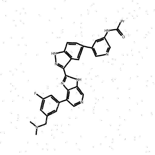 CC(C)C(=O)Nc1cncc(-c2ccc3[nH]nc(-c4nc5c(-c6cc(F)cc(CN(C)C)c6)cncc5[nH]4)c3c2)c1